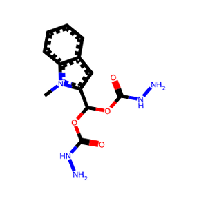 Cn1c(C(OC(=O)NN)OC(=O)NN)cc2ccccc21